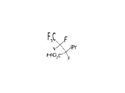 CC(C)C(F)(C(=O)O)C(F)(F)C(F)(F)F